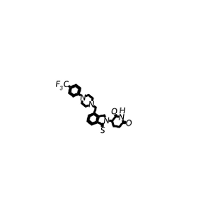 O=C1CCC(N2Cc3c(CN4CCN(c5ccc(C(F)(F)F)cc5)CC4)cccc3C2=S)C(=O)N1